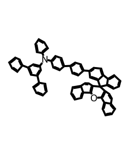 c1ccc(-c2cc(-c3ccccc3)cc(N(c3ccccc3)c3ccc(-c4ccc(-c5ccc6c(c5)C5(c7ccccc7-6)c6ccc7ccccc7c6Oc6c5ccc5ccccc65)cc4)cc3)c2)cc1